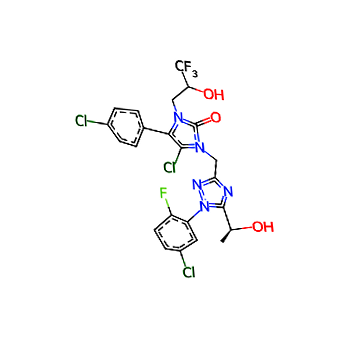 C[C@H](O)c1nc(Cn2c(Cl)c(-c3ccc(Cl)cc3)n(CC(O)C(F)(F)F)c2=O)nn1-c1cc(Cl)ccc1F